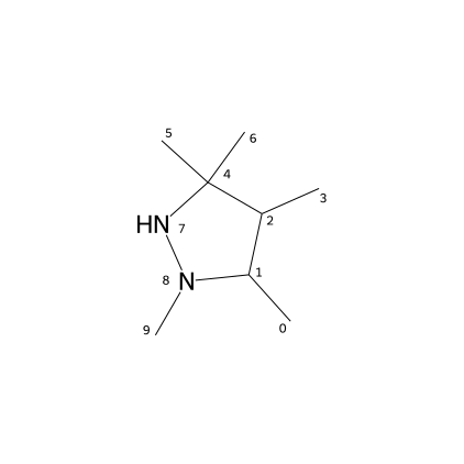 CC1C(C)C(C)(C)NN1C